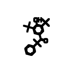 CC(C)(C)c1cc(C(=O)C(C)(C)c2ccccc2)cc(C(C)(C)C)c1O